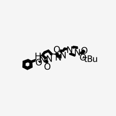 CC(C)(C)OC(=O)N1CCN(Cc2nnc([C@@H]3CC[C@@H]4CN3C(=O)N4OCc3ccccc3)o2)CC1